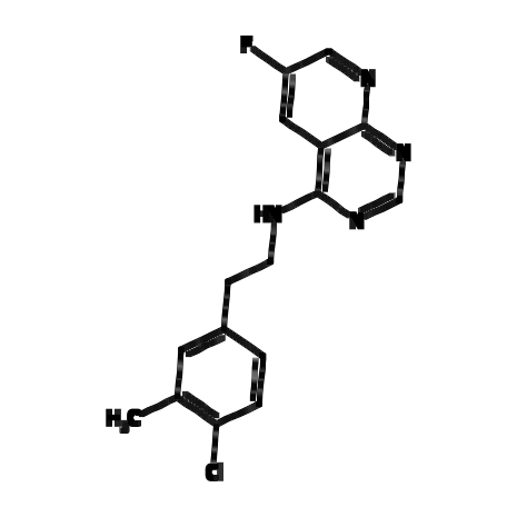 Cc1cc(CCNc2ncnc3ncc(F)cc23)ccc1Cl